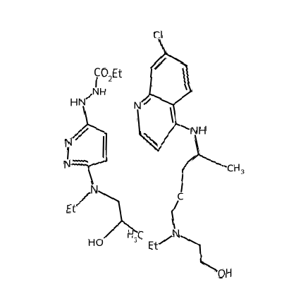 CCN(CCO)CCCC(C)Nc1ccnc2cc(Cl)ccc12.CCOC(=O)NNc1ccc(N(CC)CC(C)O)nn1